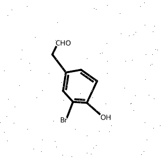 O=CCc1ccc(O)c(Br)c1